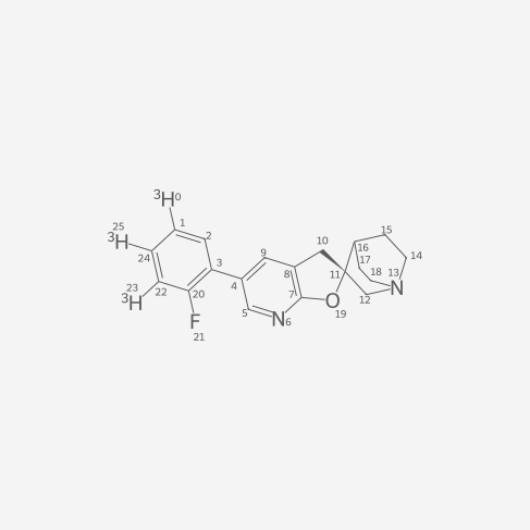 [3H]c1cc(-c2cnc3c(c2)C[C@@]2(CN4CCC2CC4)O3)c(F)c([3H])c1[3H]